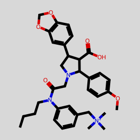 CCCCN(C(=O)CN1CC(c2ccc3c(c2)OCO3)C(C(=O)O)C1c1ccc(OC)cc1)c1cccc(C[N+](C)(C)C)c1